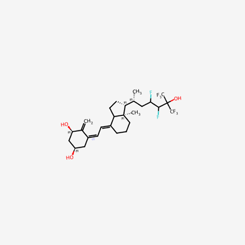 C=C1/C(=C\C=C2CCC[C@@]3(C)C2CC[C@@H]3[C@H](C)CC(F)C(F)C(O)(C(F)(F)F)C(F)(F)F)C[C@@H](O)C[C@H]1O